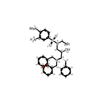 CNc1ccc(S(=O)(=O)N(CC(C)C)C[C@@H](O)[C@H](Cc2ccccc2)N(Cc2ccccc2)Cc2ccccc2)cc1N